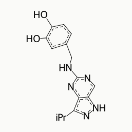 CC(C)c1n[nH]c2cnc(NCc3ccc(O)c(O)c3)nc12